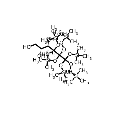 C[Si](C)(C)OOC(O[Si](C)(C)C)(O[Si](C)(C)C)[C@](OO[Si](C)(C)C)(O[Si](C)(C)C)[C@](O)(O[Si](C)(C)C)[C@H](O)[C@H](O)CO